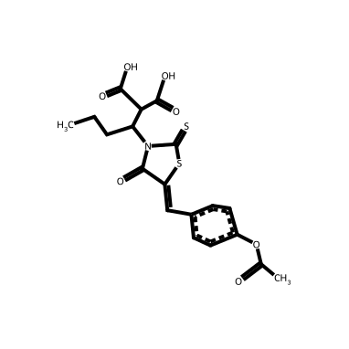 CCCC(C(C(=O)O)C(=O)O)N1C(=O)C(=Cc2ccc(OC(C)=O)cc2)SC1=S